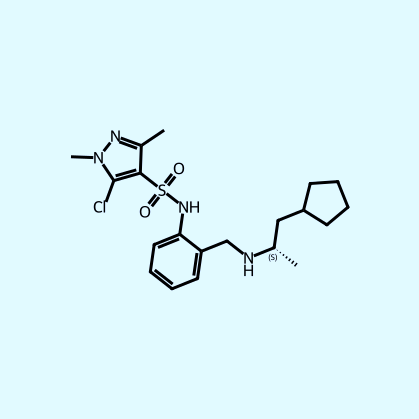 Cc1nn(C)c(Cl)c1S(=O)(=O)Nc1ccccc1CN[C@@H](C)CC1CCCC1